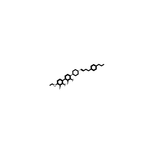 CCCc1ccc(CCC=C[C@H]2CC[C@H](c3ccc(-c4ccc(OCC)c(F)c4F)c(F)c3F)CC2)cc1